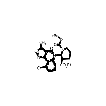 CCOC(=O)C1CCCN(C(=O)OC(C)(C)C)C1n1c(=O)c2c(C)onc2c2c(Cl)cccc21